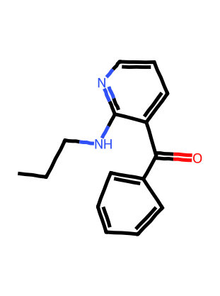 CCCNc1ncccc1C(=O)c1ccccc1